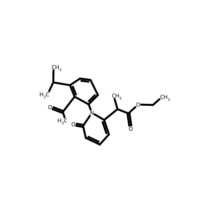 CCOC(=O)C(C)c1cccc(=O)n1-c1cccc(C(C)C)c1C(C)=O